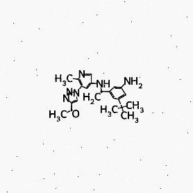 C=C(Nc1cnc(C)c(-n2cc(C(C)=O)nn2)c1)c1cc(N)cc(C(C)(C)C)c1